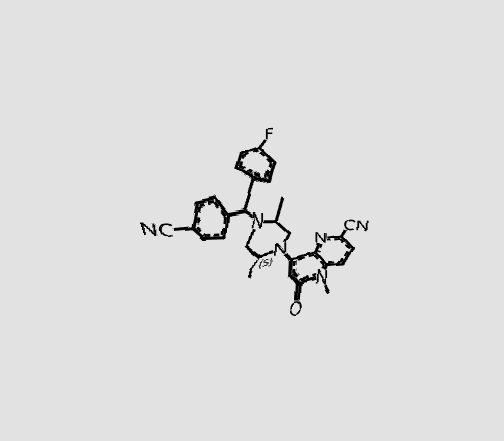 CC1CN(c2cc(=O)n(C)c3ccc(C#N)nc23)[C@@H](C)CN1C(c1ccc(F)cc1)c1ccc(C#N)cc1